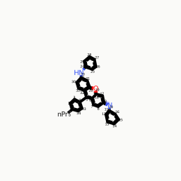 CCCc1ccc(-c2c3cc/c(=N\c4ccccc4)cc-3oc3cc(Nc4ccccc4)ccc23)cc1